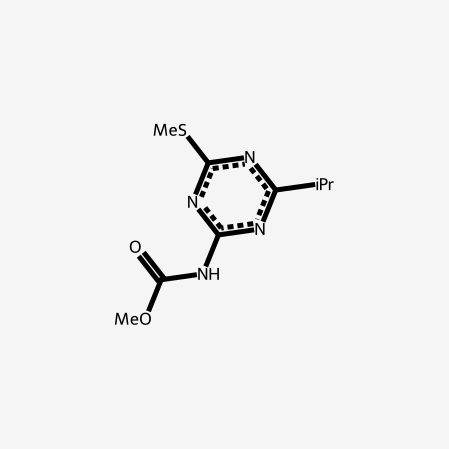 COC(=O)Nc1nc(SC)nc(C(C)C)n1